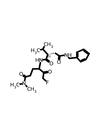 CC(C)[C@H](CC(=O)NCc1ccccc1)C(=O)NC(CCC(=O)N(C)C)C(=O)CF